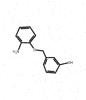 Nc1ccccc1OCc1cccc(O)c1